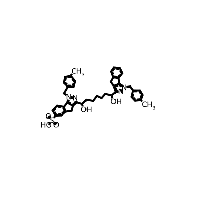 Cc1ccc(Cn2nc(C(O)CCCCCC(O)c3nn(Cc4ccc(C)cc4)c4c3Cc3cc(S(=O)(=O)O)ccc3-4)c3c2-c2ccccc2C3)cc1